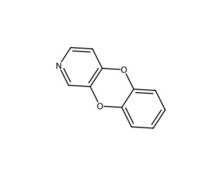 c1ccc2c(c1)Oc1ccncc1O2